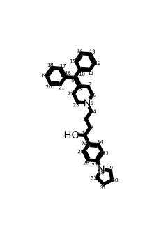 OC(CCCN1CCC(=C(c2ccccc2)c2ccccc2)CC1)c1ccc(N2CCCC2)cc1